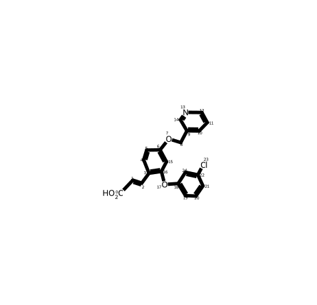 O=C(O)/C=C/c1ccc(OCc2cccnc2)cc1Oc1cccc(Cl)c1